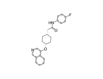 O=C(C[C@H]1CC[C@@H](Oc2cncc3ccccc23)CC1)Nc1ccc(F)cc1